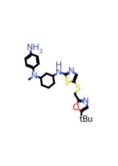 CN(c1ccc(N)cc1)C1CCCC(Nc2ncc(SCc3ncc(C(C)(C)C)o3)s2)C1